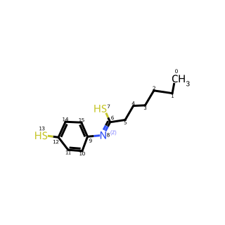 CCCCCC/C(S)=N/c1ccc(S)cc1